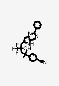 CC(C)(CC(O)(Cc1cc2nc(-c3ccccc3)ncc2[nH]1)C(F)(F)F)c1ccc(C#N)cc1